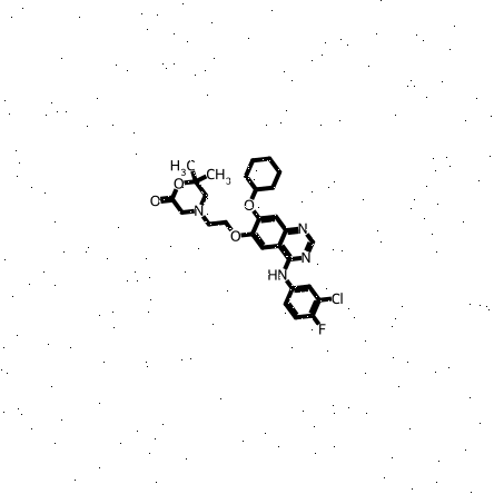 CC1(C)CN(CCOc2cc3c(Nc4ccc(F)c(Cl)c4)ncnc3cc2OC2CCCCC2)CC(=O)O1